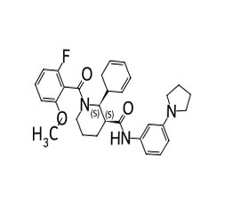 COc1cccc(F)c1C(=O)N1CCC[C@H](C(=O)Nc2cccc(N3CCCC3)c2)[C@@H]1C1C=CC=CC1